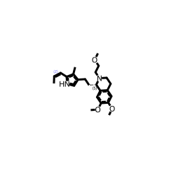 C/C=C\c1[nH]cc(CC[C@H]2c3cc(OC)c(OC)cc3CCN2CCOC)c1C